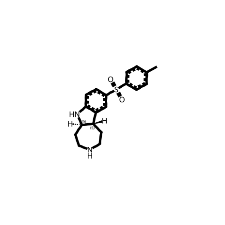 Cc1ccc(S(=O)(=O)c2ccc3c(c2)[C@@H]2CCNCC[C@H]2N3)cc1